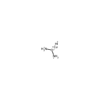 I.NON.[Cu]